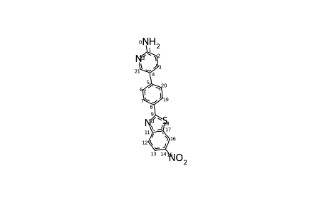 Nc1ccc(-c2ccc(-c3nc4ccc([N+](=O)[O-])cc4s3)cc2)cn1